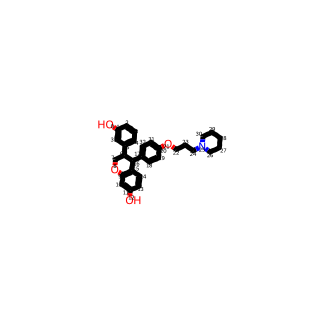 Oc1cccc(C2COc3cc(O)ccc3C2c2ccc(OCCCN3CCCCC3)cc2)c1